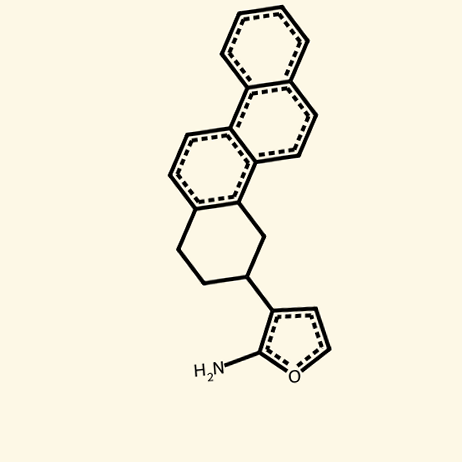 Nc1occc1C1CCc2ccc3c(ccc4ccccc43)c2C1